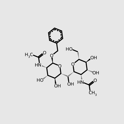 CC(=O)N[C@@H]1[C@@H](OCc2ccccc2)O[C@H](C(O)[C@@H]2O[C@H](CO)[C@@H](O)[C@H](O)[C@@H]2NC(C)=O)[C@@H](O)[C@@H]1O